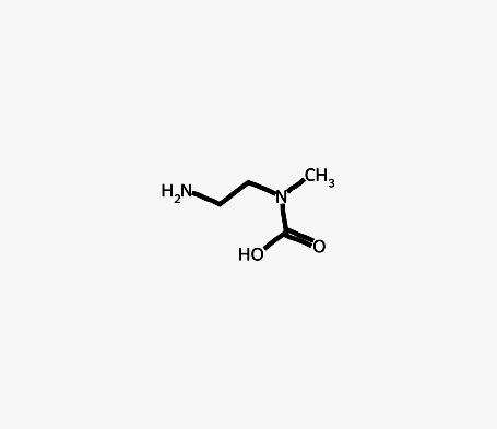 CN(CCN)C(=O)O